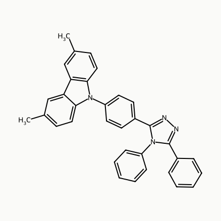 Cc1ccc2c(c1)c1cc(C)ccc1n2-c1ccc(-c2nnc(-c3ccccc3)n2-c2ccccc2)cc1